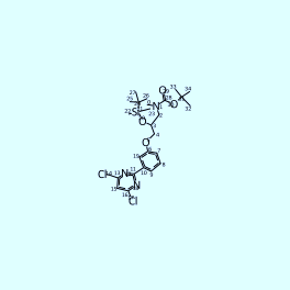 CN(CC(COc1cccc(-c2nc(Cl)cc(Cl)n2)c1)O[Si](C)(C)C(C)(C)C)C(=O)OC(C)(C)C